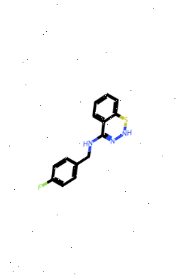 Fc1ccc(CNC2=NNSc3ccccc32)cc1